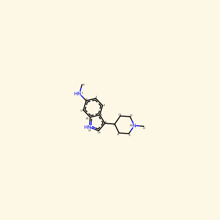 CNc1ccc2c(C3CCN(C)CC3)c[nH]c2c1